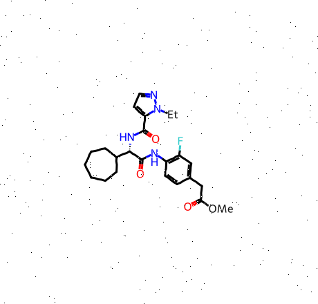 CCn1nccc1C(=O)N[C@H](C(=O)Nc1ccc(CC(=O)OC)cc1F)C1CCCCCC1